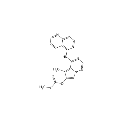 COC(=O)Oc1cn2ncnc(Nc3cccc4ncccc34)c2c1C